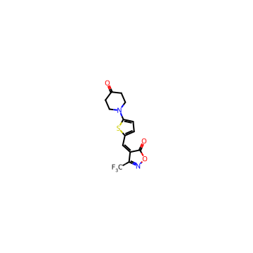 O=C1CCN(c2ccc(/C=C3\C(=O)ON=C3C(F)(F)F)s2)CC1